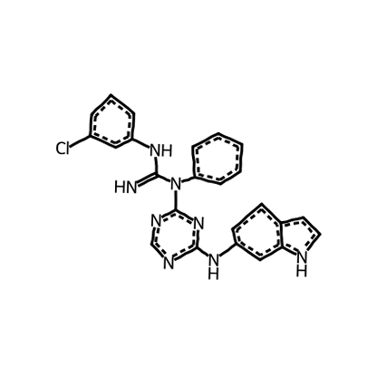 N=C(Nc1cccc(Cl)c1)N(c1ccccc1)c1ncnc(Nc2ccc3cc[nH]c3c2)n1